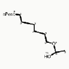 CCCCCCCCCCCOC(C)O